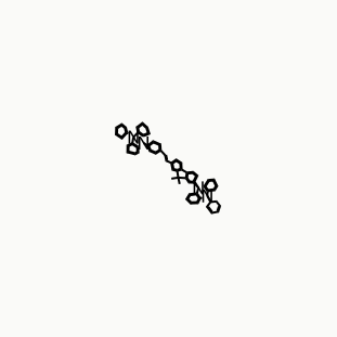 CC1(C)c2cc(/C=C/c3ccc(N4c5ccccc5N(c5ccccc5)c5ccccc54)cc3)ccc2-c2ccc(N3c4ccccc4N(C4C=CC=CC4)c4ccccc43)cc21